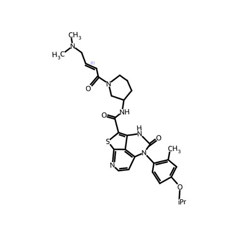 Cc1cc(OC(C)C)ccc1N1C(=O)Nc2c(C(=O)NC3CCCN(C(=O)/C=C/CN(C)C)C3)sc3nccc1c23